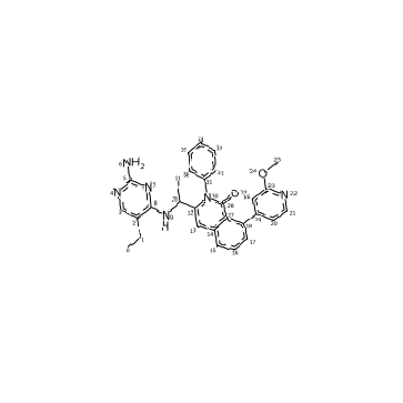 CCc1cnc(N)nc1NC(C)c1cc2cccc(-c3ccnc(OC)c3)c2c(=O)n1-c1ccccc1